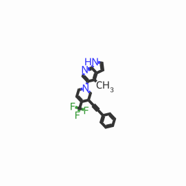 Cc1c(N2CC=C(C(F)(F)F)C(C#Cc3ccccc3)C2)cnc2[nH]ccc12